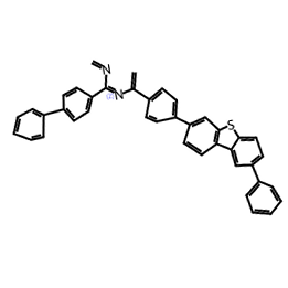 C=N/C(=N\C(=C)c1ccc(-c2ccc3c(c2)sc2ccc(-c4ccccc4)cc23)cc1)c1ccc(-c2ccccc2)cc1